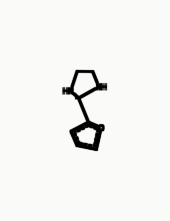 c1coc([C]2NCCN2)c1